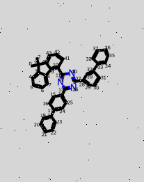 CC1(C)c2ccccc2-c2c(-c3nc(-c4ccc(-c5ccccc5)cc4)nc(-c4cccc(-c5ccccc5)c4)n3)cccc21